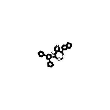 Cc1cccccc(-c2ccc3ccccc3c2)c2cnccc2c1SC1=CC(c2ccccc2)=CC(c2ccccc2)C1